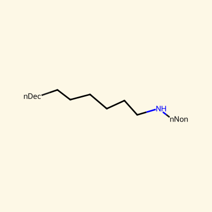 CCCCCCCCCCCCCCCCNCCCCCCCCC